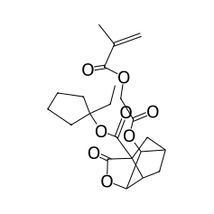 C=C(C)C(=O)OCC(=O)OC1C2CC3C1OC(=O)C3(C(=O)OC1(CC)CCCC1)C2